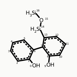 Oc1ccccc1-c1c(O)cccc1[SiH2]O[SiH3]